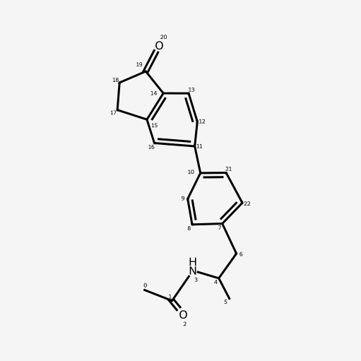 CC(=O)NC(C)Cc1ccc(-c2ccc3c(c2)CCC3=O)cc1